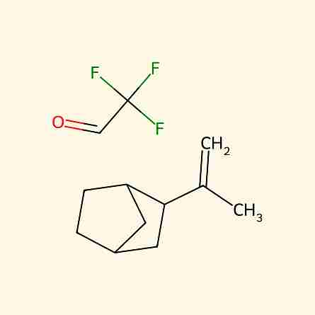 C=C(C)C1CC2CCC1C2.O=CC(F)(F)F